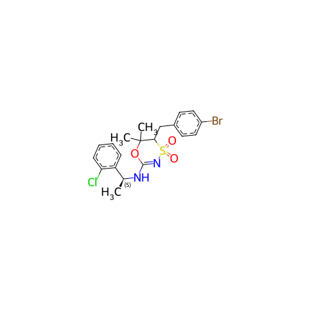 C[C@H](NC1=NS(=O)(=O)C(Cc2ccc(Br)cc2)C(C)(C)O1)c1ccccc1Cl